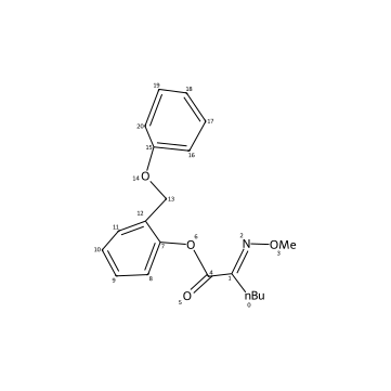 CCCCC(=NOC)C(=O)Oc1ccccc1COc1ccccc1